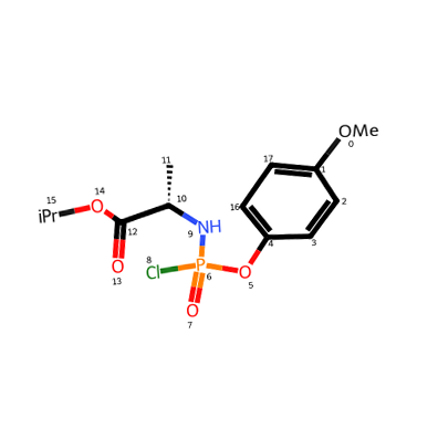 COc1ccc(OP(=O)(Cl)N[C@@H](C)C(=O)OC(C)C)cc1